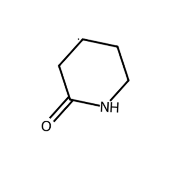 O=C1C[CH]CCN1